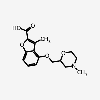 Cc1c(C(=O)O)oc2cccc(OCC3CN(C)CCO3)c12